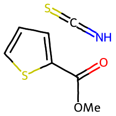 COC(=O)c1cccs1.N=C=S